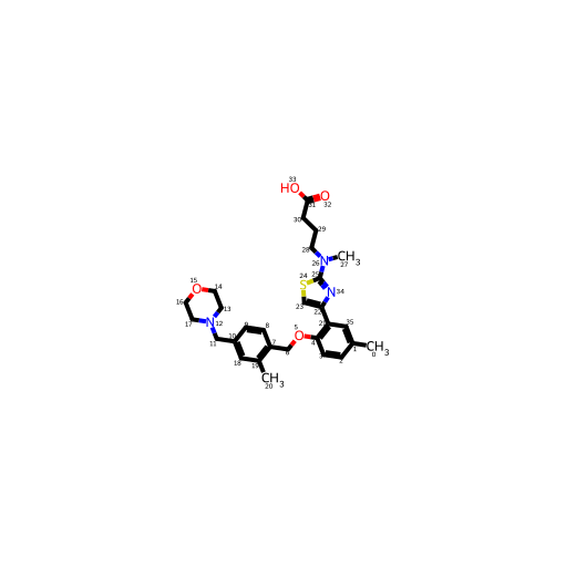 Cc1ccc(OCc2ccc(CN3CCOCC3)cc2C)c(-c2csc(N(C)CCCC(=O)O)n2)c1